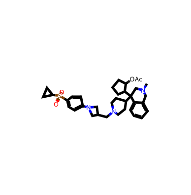 CC(=O)OC1CCCC1C1(C2CCN(CC3CN(c4ccc(S(=O)(=O)C5CC5)cc4)C3)CC2)CN(C)Cc2ccccc21